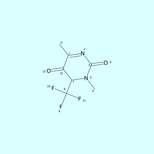 CC1=NC(=O)N(C)C(C(F)(F)F)C1=O